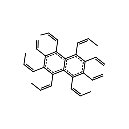 C=Cc1c(C=C)c(/C=C\C)c2c(/C=C\C)c(/C=C\C)c(C=C)c(/C=C\C)c2c1/C=C\C